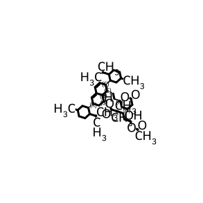 CC(=O)OCCCC(C)(C)C(=O)O[C@H]1C[C@H](C2CC(C)CCC2C(C)C)C=C2C=C[C@@H](C3CC(C)CCC3C(C)C)[C@H](CC[C@@H]3C[C@@H](O)CC(=O)O3)[C@H]21